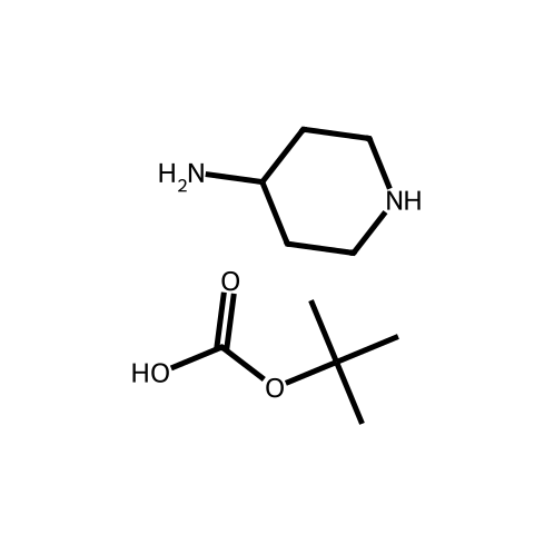 CC(C)(C)OC(=O)O.NC1CCNCC1